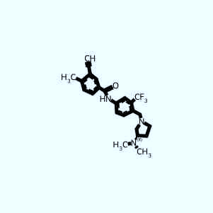 C#Cc1cc(C(=O)Nc2ccc(CN3CC[C@@H](N(C)C)C3)c(C(F)(F)F)c2)ccc1C